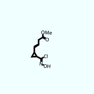 COC(=O)CC=CC1CC1/C(Cl)=N/O